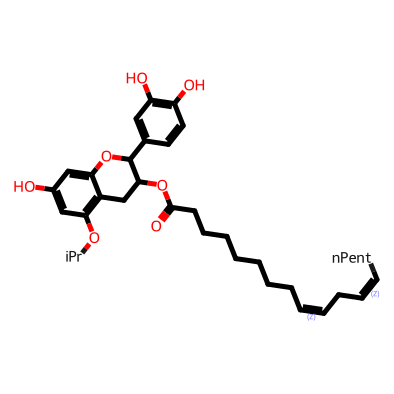 CCCCC/C=C\C/C=C\CCCCCCCC(=O)OC1Cc2c(OC(C)C)cc(O)cc2OC1c1ccc(O)c(O)c1